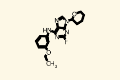 CCOc1cccc(Nc2nc(F)nc3c2ncn3C2CCCCO2)c1